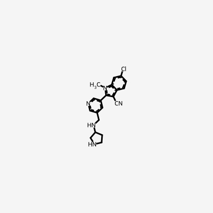 Cn1c(-c2cncc(CNC3CCNC3)c2)c(C#N)c2ccc(Cl)cc21